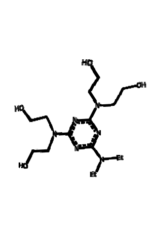 CCN(CC)c1nc(N(CCO)CCO)nc(N(CCO)CCO)n1